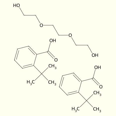 CC(C)(C)c1ccccc1C(=O)O.CC(C)(C)c1ccccc1C(=O)O.OCCOCCOCCO